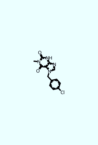 Cn1c(=O)[nH]c2ncn(Cc3ccc(Cl)cc3)c2c1=O